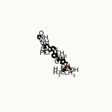 Cc1c(NC(=O)c2ccc(CN(CCO)C(=O)OC(C)(C)C)cn2)cccc1-c1nccc(-c2ccc(CNC[C@@H]3CCC(=O)N3)c(OC(F)F)n2)c1Cl